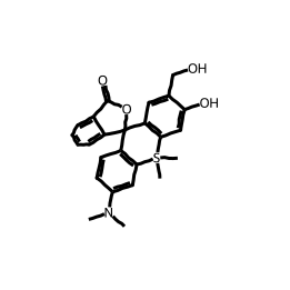 CN(C)c1ccc2c(c1)S(C)(C)c1cc(O)c(CO)cc1C21OC(=O)c2ccccc21